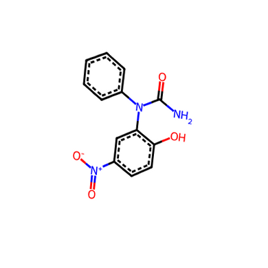 NC(=O)N(c1ccccc1)c1cc([N+](=O)[O-])ccc1O